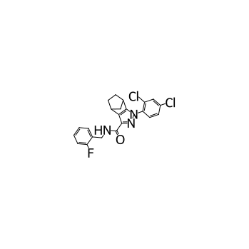 O=C(NCc1ccccc1F)c1nn(-c2ccc(Cl)cc2Cl)c2c1C1CCC2C1